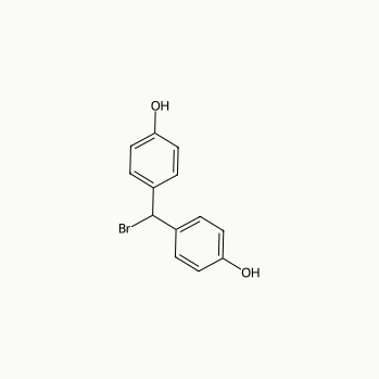 Oc1ccc(C(Br)c2ccc(O)cc2)cc1